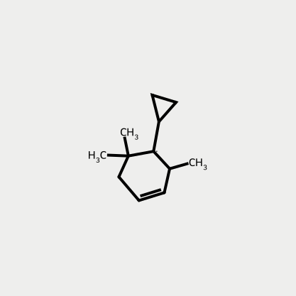 CC1C=CCC(C)(C)[C]1C1CC1